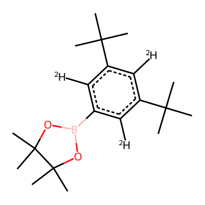 [2H]c1c(B2OC(C)(C)C(C)(C)O2)c([2H])c(C(C)(C)C)c([2H])c1C(C)(C)C